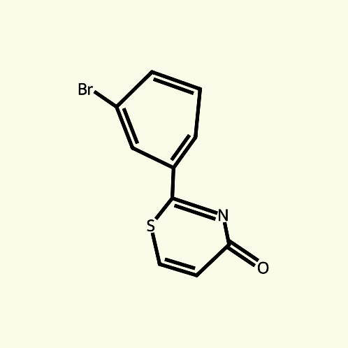 O=c1ccsc(-c2cccc(Br)c2)n1